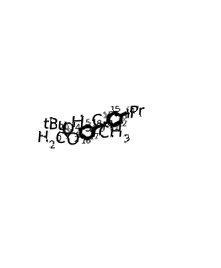 C=C(Oc1ccc(C(C)(C)c2ccc(C(C)C)cc2)cc1)OC(C)(C)C